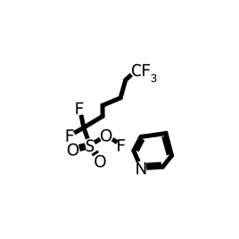 O=S(=O)(OF)C(F)(F)CCCCC(F)(F)F.c1ccncc1